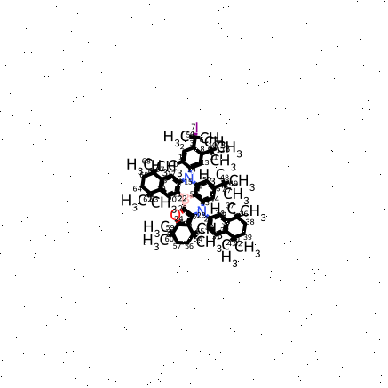 CC1=CC(C(C)(C)I)C(C(C)(C)C)C=C1N1c2cc3c(cc2B2c4oc5c(c4N(c4ccc6c(c4)C(C)(C)CCC6(C)C)c4cc(C(C)(C)C)cc1c42)C(C)(C)CCC5(C)C)C(C)(C)CCC3(C)C